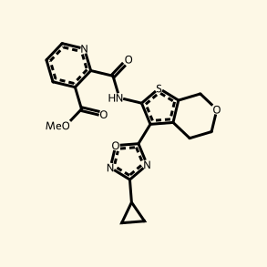 COC(=O)c1cccnc1C(=O)Nc1sc2c(c1-c1nc(C3CC3)no1)CCOC2